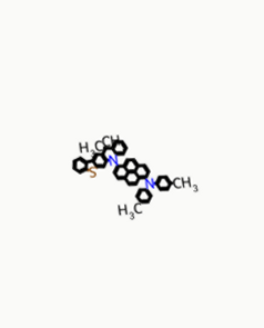 Cc1ccc(N(c2ccc(C)cc2)c2ccc3ccc4c(N5c6ccccc6C(C)(C)c6cc7c(cc65)sc5ccccc57)ccc5ccc2c3c54)cc1